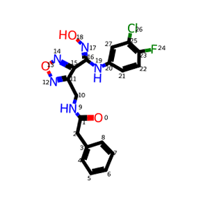 O=C(Cc1ccccc1)NCc1nonc1/C(=N\O)Nc1ccc(F)c(Cl)c1